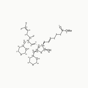 COC(=O)CCCC=CC[C@@H]1[C@@H](C=C[C@H](OC2CCCCO2)C(C)CC=C(C)C)[C@H](OC2CCCCO2)C[C@@H]1O